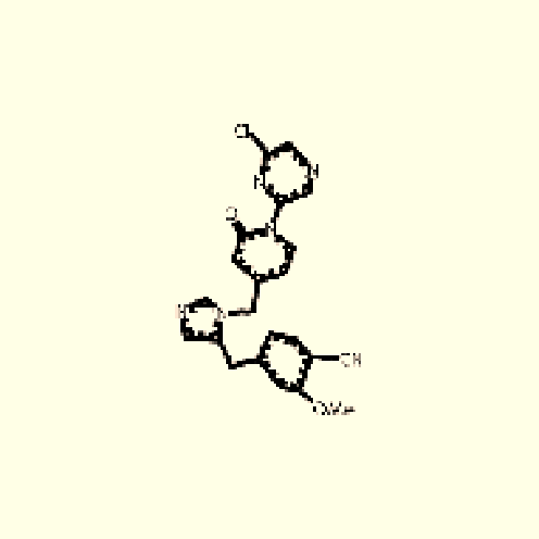 COc1cc(Cc2cncn2Cc2ccn(-c3cncc(Cl)n3)c(=O)c2)ccc1C#N